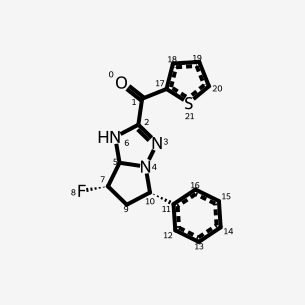 O=C(C1=NN2C(N1)[C@@H](F)C[C@H]2c1ccccc1)c1cccs1